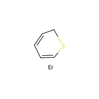 C1=CCSC=C1.[Er]